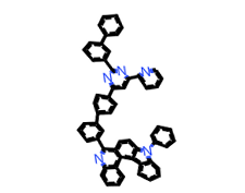 c1ccc(-c2cccc(-c3nc(-c4ccc(-c5cccc(-c6nc7ccccc7c7c6ccc6c7c7ccccc7n6-c6ccccc6)c5)cc4)cc(-c4ccccn4)n3)c2)cc1